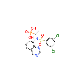 CC(N(c1cccc2cncnc12)S(=O)(=O)c1cc(Cl)cc(Cl)c1)P(=O)(O)O